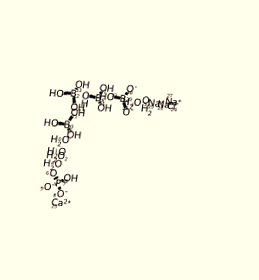 O.O.O.O.O.O.O=P([O-])([O-])O.OB(O)O.OB(O)O.OB(O)O.[Ca+2].[Cl-].[Na+].[Na+].[Na+].[O-]B([O-])O